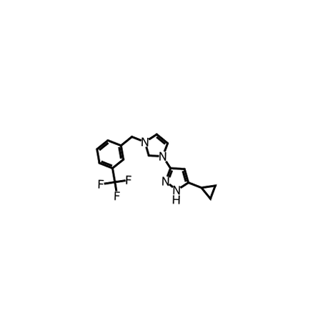 FC(F)(F)c1cccc(CN2C=CN(c3cc(C4CC4)[nH]n3)C2)c1